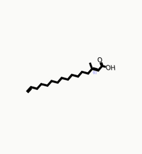 C=CCCCCCCCCCCC/C(C)=C/C(=O)O